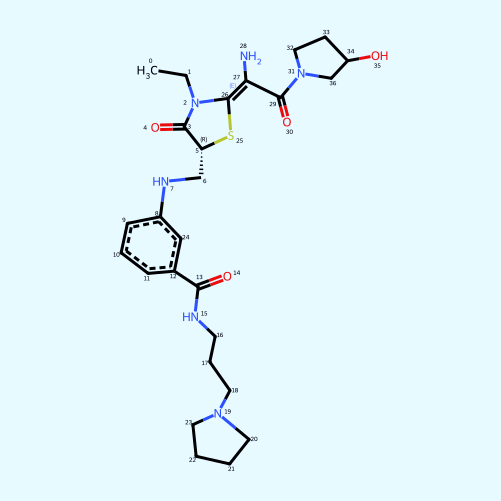 CCN1C(=O)[C@@H](CNc2cccc(C(=O)NCCCN3CCCC3)c2)S/C1=C(/N)C(=O)N1CCC(O)C1